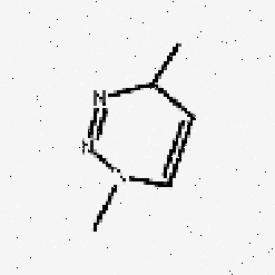 CC1C=CN(C)N=N1